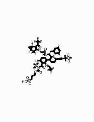 CC(C)(C#Cc1ccc(-c2ccc(Cl)c3c(N(C(=O)OCCCS(=O)(=O)O)S(C)(=O)=O)nn(CC(F)(F)F)c23)c([C@H](Cc2cc(F)cc(F)c2)NC(=O)Cn2nc(C(F)(F)F)c3c2C(F)(F)[C@@H]2C[C@H]32)n1)S(C)(=O)=O